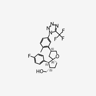 Cc1ccc(-n2nnnc2C(F)(F)F)cc1[C@H]1CO[C@]2(CC[C@H](CO)[C@H]2c2ccc(F)cc2)C1